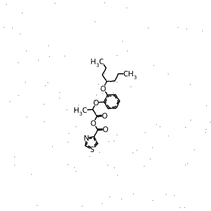 CCCC(CCC)Oc1ccccc1OC(C)C(=O)OC(=O)c1cscn1